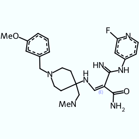 CNCC1(N/C=C(\C(=N)Nc2ccnc(F)c2)C(N)=O)CCN(Cc2cccc(OC)c2)CC1